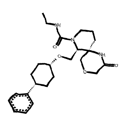 CCNC(=O)N1CCC[C@]2(COCC(=O)N2)[C@H]1CO[C@H]1CC[C@@H](c2ccccc2)CC1